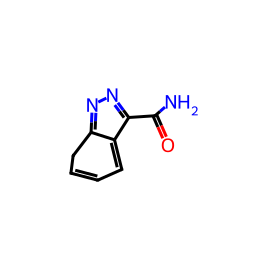 NC(=O)C1=NN=C2CC=CC=C21